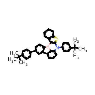 CC(C)(C)c1ccc(-c2ccc3c(c2)-c2cccc4c2B3c2c(sc3ccccc23)N4c2ccc(C(C)(C)C)cc2)cc1